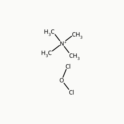 C[N+](C)(C)C.ClOCl